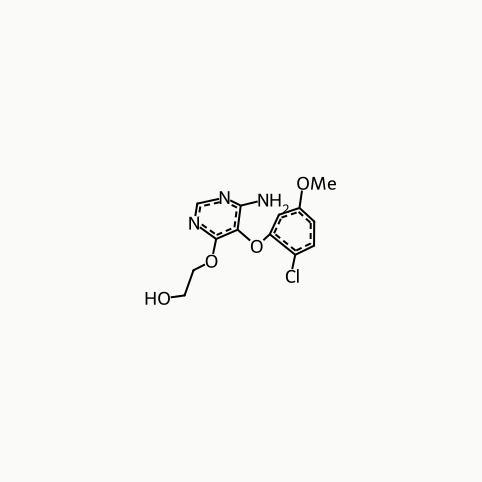 COc1ccc(Cl)c(Oc2c(N)ncnc2OCCO)c1